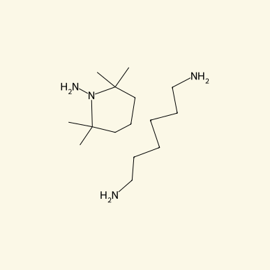 CC1(C)CCCC(C)(C)N1N.NCCCCCCN